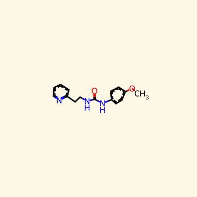 COc1ccc(NC(=O)NCCc2ccccn2)cc1